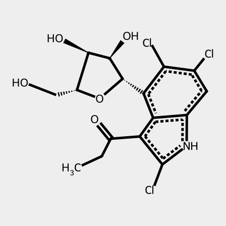 CCC(=O)c1c(Cl)[nH]c2cc(Cl)c(Cl)c([C@@H]3O[C@H](CO)[C@@H](O)[C@H]3O)c12